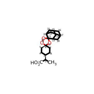 CC(C(=O)O)[C@H]1CC[C@@]2(CC1)OOC1(O2)C2CC3CC(C2)CC1C3